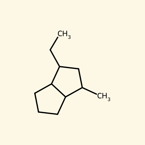 CCC1CC(C)C2CCCC12